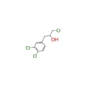 OC(CCl)Cc1ccc(Cl)c(Cl)c1